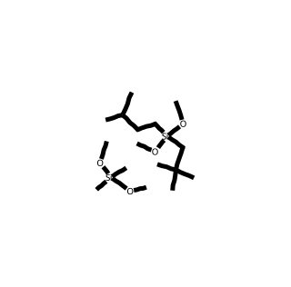 CO[Si](C)(C)OC.CO[Si](CCC(C)C)(CC(C)(C)C)OC